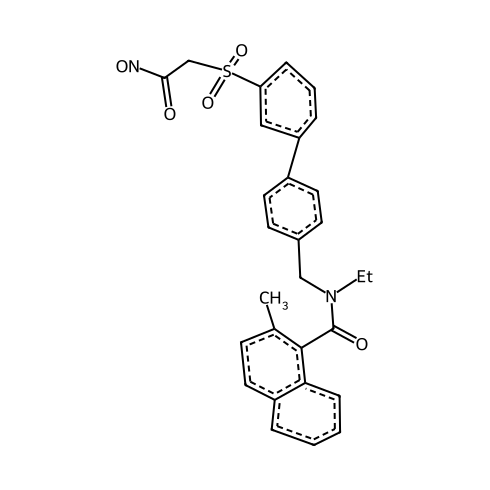 CCN(Cc1ccc(-c2cccc(S(=O)(=O)CC(=O)N=O)c2)cc1)C(=O)c1c(C)ccc2ccccc12